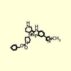 Cn1cc(-c2ccc(Nc3nn(C4CCN(C(=O)OCc5ccccc5)CC4)c4c3CNCC4)c(F)c2)cn1